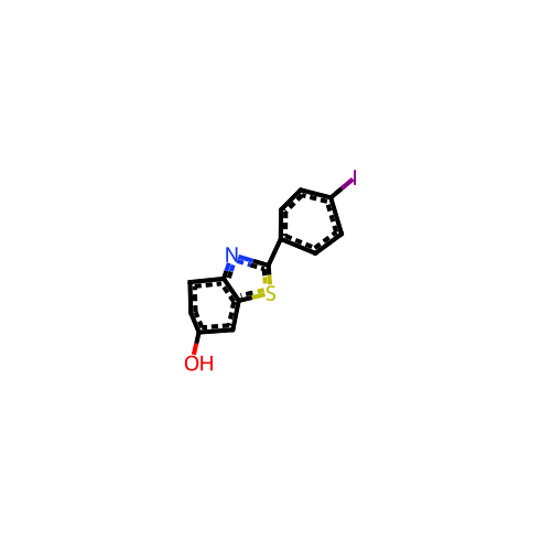 Oc1ccc2nc(-c3ccc(I)cc3)sc2c1